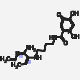 C=C/N=C(N)\C(=C/C)NCCCCNC(=O)c1cc(=O)c(O)cn1O